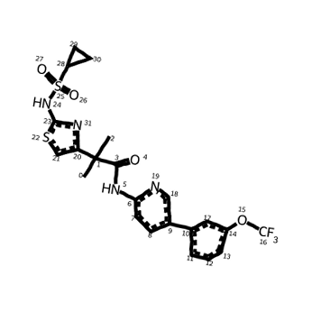 CC(C)(C(=O)Nc1ccc(-c2cccc(OC(F)(F)F)c2)cn1)c1csc(NS(=O)(=O)C2CC2)n1